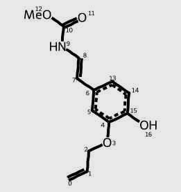 C=CCOc1cc(C=CNC(=O)OC)ccc1O